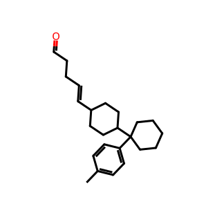 Cc1ccc(C2(C3CCC(C=CCCC=O)CC3)CCCCC2)cc1